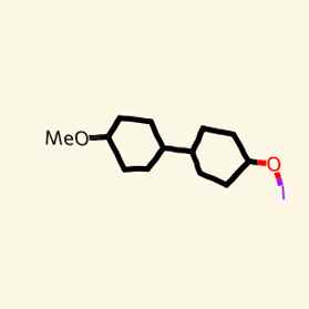 COC1CCC(C2CCC(OI)CC2)CC1